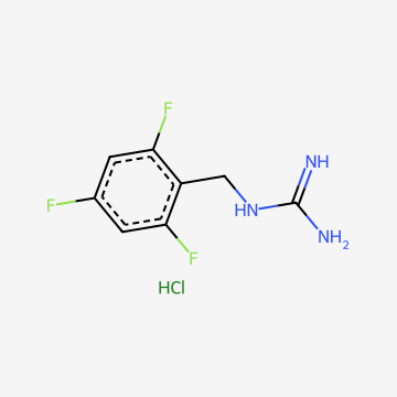 Cl.N=C(N)NCc1c(F)cc(F)cc1F